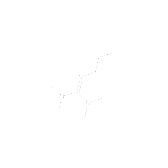 CN(C)C(=NCC[O])N(C)C